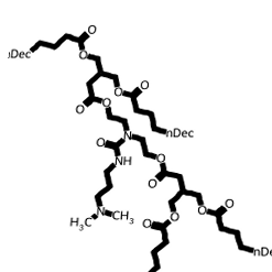 CCCCCCCCCCCCCC(=O)OCC(COC(=O)CCCCCCCCCCCCC)CC(=O)OCCN(CCOC(=O)CC(COC(=O)CCCCCCCCCCCCC)COC(=O)CCCCCCCCCCCCC)C(=O)NCCCN(C)C